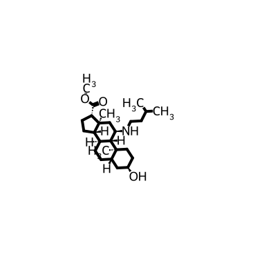 COC(=O)[C@H]1CC[C@H]2[C@@H]3CC[C@H]4C[C@H](O)CC[C@]4(C)[C@H]3[C@H](NCCC(C)C)C[C@]12C